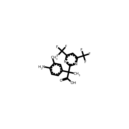 Cc1cc(C(C)(C(=O)O)c2nc(C(F)(F)F)cc(C(F)(F)F)n2)ccc1N